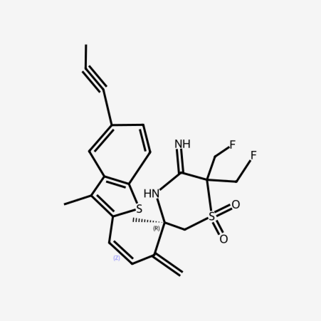 C=C(/C=C\c1sc2ccc(C#CC)cc2c1C)[C@]1(C)CS(=O)(=O)C(CF)(CF)C(=N)N1